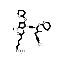 CCC#CC[C@H](C)[C@@H](C#C[C@@H]1[C@@H](CC(=O)CCCCC(=O)O)[C@@H](O)C[C@H]1OC1CCCCO1)OC1CCCCO1